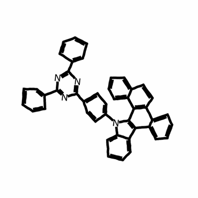 c1ccc(-c2nc(-c3ccccc3)nc(-c3ccc(-n4c5ccccc5c5c6ccccc6c6ccc7ccccc7c6c54)cc3)n2)cc1